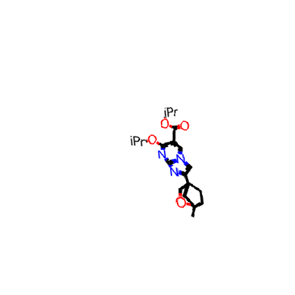 CC(C)OC(=O)c1cn2cc(C34CCC(C)(C3)OC4)nc2nc1OC(C)C